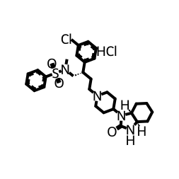 CN(C[C@@H](CCN1CCC(N2C(=O)N[C@@H]3CCCC[C@@H]32)CC1)c1cccc(Cl)c1)S(=O)(=O)c1ccccc1.Cl